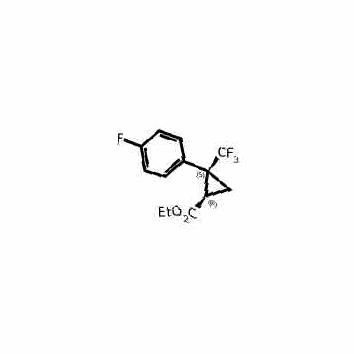 CCOC(=O)[C@@H]1C[C@]1(c1ccc(F)cc1)C(F)(F)F